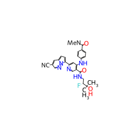 CNC(=O)c1ccc(Nc2cc(-c3ccc4cc(C#N)cnn34)ncc2C(=O)NC[C@@H](F)C(C)(C)O)cc1